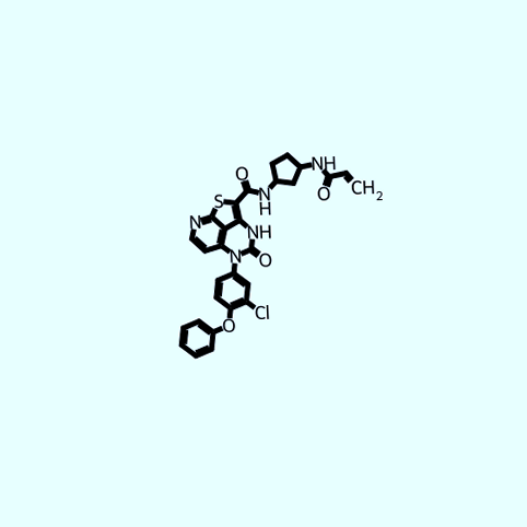 C=CC(=O)NC1CCC(NC(=O)c2sc3nccc4c3c2NC(=O)N4c2ccc(Oc3ccccc3)c(Cl)c2)C1